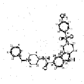 O=C(NC1CCN(Cc2ccccc2)CC1)c1ccc2[nH]c3c(c2c1)CN(S(=O)(=O)c1ccc(C(F)(F)F)cc1)CC3